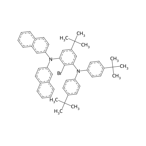 CC(C)(C)c1ccc(N(c2ccc(C(C)(C)C)cc2)c2cc(C(C)(C)C)cc(N(c3ccc4ccccc4c3)c3ccc4ccccc4c3)c2Br)cc1